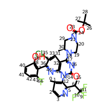 Cc1ccnc(C(C)C(F)(F)F)c1-n1c(=O)nc(N2CCN(C(=O)OC(C)(C)C)C[C@@H]2C)c2cc(Cl)c(-c3c(O)cccc3F)nc21